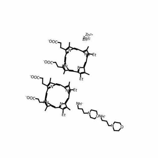 CCC1=C(C)c2cc3[nH]c(cc4nc(cc5[nH]c(cc1n2)c(C)c5CCC(=O)[O-])C(CCC(=O)[O-])=C4C)c(C)c3CC.CCC1=C(C)c2cc3[nH]c(cc4nc(cc5[nH]c(cc1n2)c(C)c5CCC(=O)[O-])C(CCC(=O)[O-])=C4C)c(C)c3CC.[NH-]CCCN1CCOCC1.[NH-]CCCN1CCOCC1.[Zn+2].[Zn+2].[Zn+2]